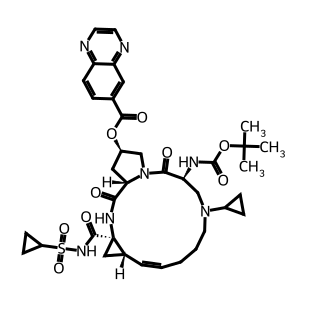 CC(C)(C)OC(=O)N[C@H]1CN(C2CC2)CCC/C=C\[C@@H]2C[C@@]2(C(=O)NS(=O)(=O)C2CC2)NC(=O)[C@@H]2C[C@@H](OC(=O)c3ccc4nccnc4c3)CN2C1=O